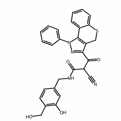 N#CC(C(=O)NCc1ccc(CO)c(O)c1)C(=O)c1nn(-c2ccccc2)c2c1CSc1ccccc1-2